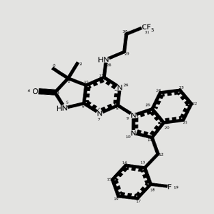 CC1(C)C(=O)Nc2nc(-n3nc(Cc4ccccc4F)c4ccccc43)nc(NCCC(F)(F)F)c21